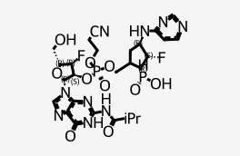 CC(C)C(=O)Nc1nc2c(ncn2[C@@H]2O[C@H](CO)[C@@H](F)[C@H]2OP(=O)(OCCC#N)OCC2C[C@@H](Nc3ccncn3)[C@H](F)[C@@H]2[PH](=O)O)c(=O)[nH]1